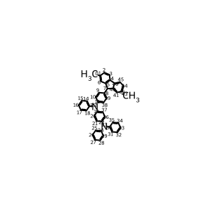 Cc1ccc2c(c1)C(c1ccc(N(c3ccccc3)c3ccc(N(c4ccccc4)c4ccccc4)cc3)cc1)c1cc(C)ccc1-2